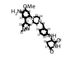 COc1cc(N2CCN(Cc3cccc(NC4CCC(=O)NC4=O)c3)CC2)c(-c2cnn(C)c2)cc1N